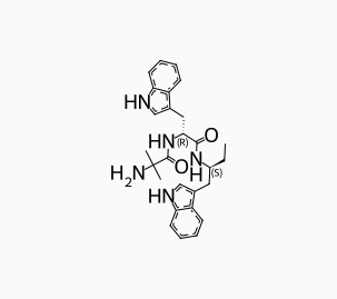 CC[C@@H](Cc1c[nH]c2ccccc12)NC(=O)[C@@H](Cc1c[nH]c2ccccc12)NC(=O)C(C)(C)N